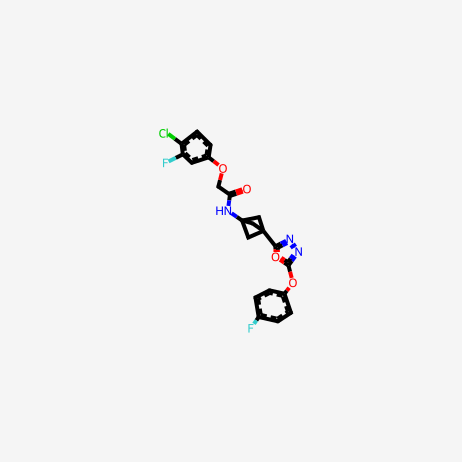 O=C(COc1ccc(Cl)c(F)c1)NC12CC(c3nnc(Oc4ccc(F)cc4)o3)(C1)C2